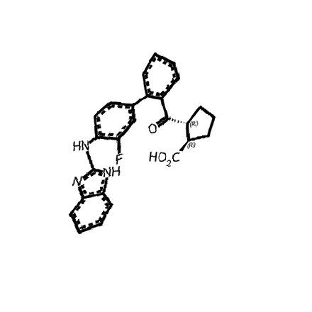 O=C(O)[C@@H]1CCC[C@H]1C(=O)c1ccccc1-c1ccc(Nc2nc3ccccc3[nH]2)c(F)c1